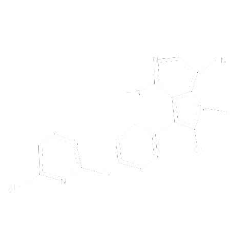 Cc1ccnc(Oc2ccc(-c3c(Br)n(C)c4c(C#N)cnc(N)c34)cc2)n1